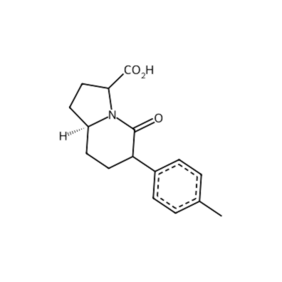 Cc1ccc(C2CC[C@H]3CCC(C(=O)O)N3C2=O)cc1